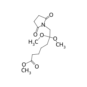 COC(=O)CCCCC(CN1C(=O)CCC1=O)(OC)OC